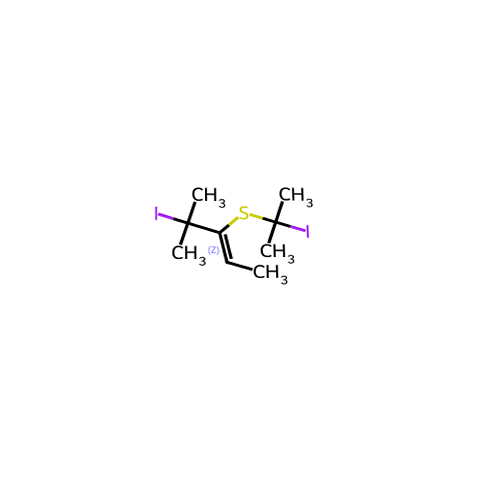 C/C=C(\SC(C)(C)I)C(C)(C)I